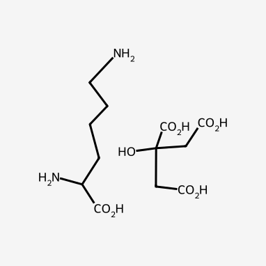 NCCCCC(N)C(=O)O.O=C(O)CC(O)(CC(=O)O)C(=O)O